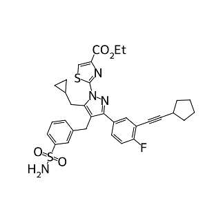 CCOC(=O)c1csc(-n2nc(-c3ccc(F)c(C#CC4CCCC4)c3)c(Cc3cccc(S(N)(=O)=O)c3)c2CC2CC2)n1